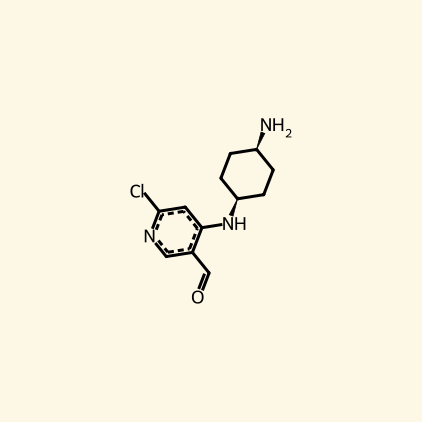 N[C@H]1CC[C@@H](Nc2cc(Cl)ncc2C=O)CC1